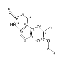 CCOC(=O)C(C)Oc1cccc2c1CCC(=O)N2